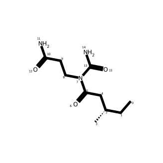 CC[C@H](C)CC(=O)N(CCC(N)=O)C(N)=O